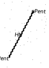 CCCCCC=CCC=CCCCCCCCCCCNCCCCCCCCCCC=CCC=CCCCCC